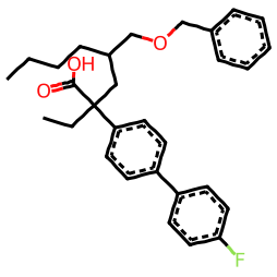 CCCCC(COCc1ccccc1)CC(CC)(C(=O)O)c1ccc(-c2ccc(F)cc2)cc1